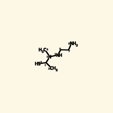 CC(S)N(C)NCCN